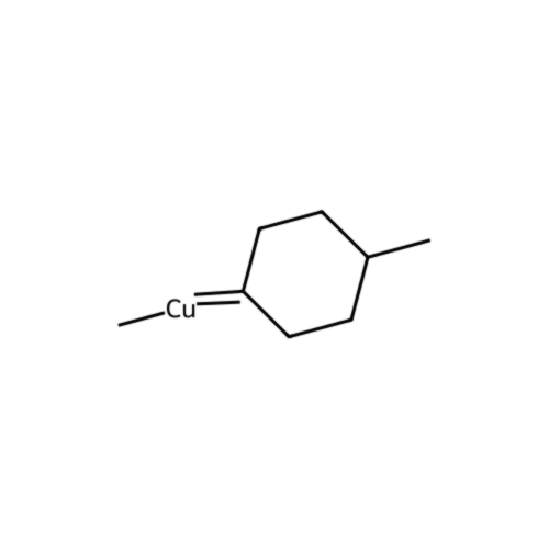 [CH3][Cu]=[C]1CCC(C)CC1